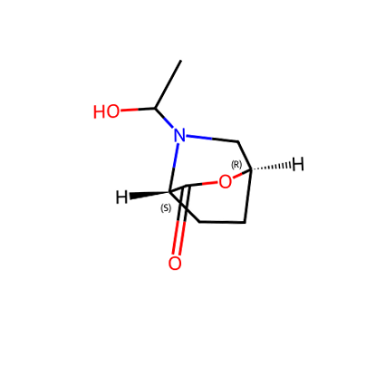 CC(O)N1C[C@H]2CC[C@H]1C(=O)O2